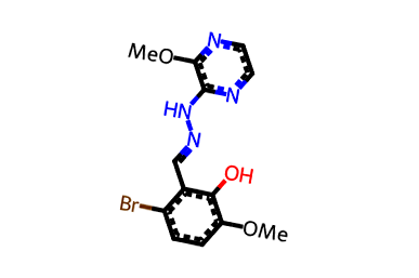 COc1ccc(Br)c(C=NNc2nccnc2OC)c1O